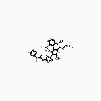 CCCCc1nc(O)c(-c2nnc(CC(=O)Nc3nccs3)o2)c(O)c1-c1c(OC)cccc1OC